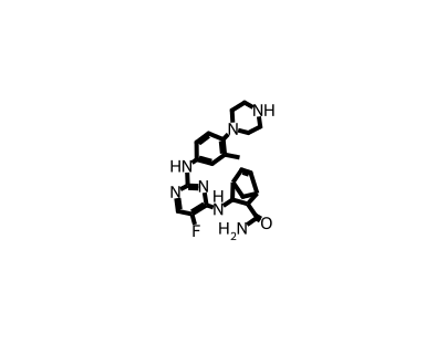 Cc1cc(Nc2ncc(F)c(NC3C4C=CC(C4)C3C(N)=O)n2)ccc1N1CCNCC1